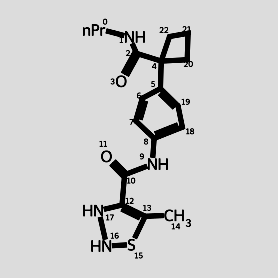 CCCNC(=O)C1(c2ccc(NC(=O)C3=C(C)SNN3)cc2)CCC1